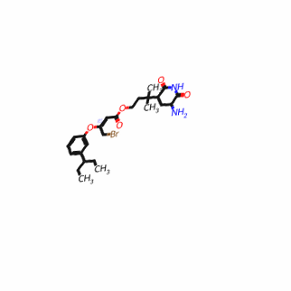 CCC(CC)c1cccc(O/C(=C/C(=O)OCCC(C)(C)C2CC(N)C(=O)NC2=O)CBr)c1